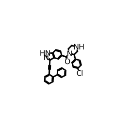 O=C(c1ccc2[nH]nc(C#Cc3ccccc3-c3ccccc3)c2c1)N1CCNCC1c1ccc(Cl)cc1